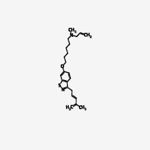 C=CCN(C)CCCCCCOc1ccc2c(CC=CC(=C)C)nsc2c1